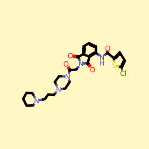 O=C(Nc1cccc2c1C(=O)N(CC(=O)N1CCN(CCCN3CCCCC3)CC1)C2=O)c1ccc(Cl)s1